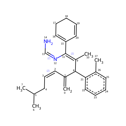 C=C(/C=C\CC(C)C)C(/C(C)=C(\N=C/N)C1=CCCC=C1)c1ccccc1C